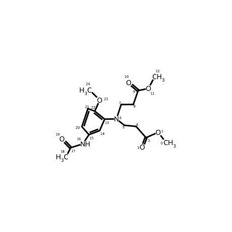 COC(=O)CCN(CCC(=O)OC)c1cc(NC(C)=O)ccc1OC